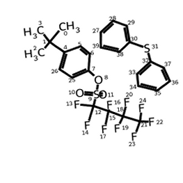 CC(C)(C)c1ccc(OS(=O)(=O)C(F)(F)C(F)(F)C(F)(F)C(F)(F)F)cc1.c1ccc(Sc2ccccc2)cc1